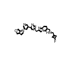 FC12CC(CNCc3ccc4nc(Cn5cc(-c6cncc(-n7ccc8cocc87)c6)nn5)cn4c3)(C1)C2